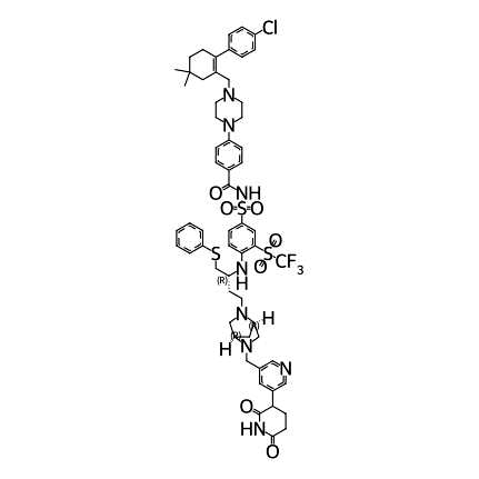 CC1(C)CCC(c2ccc(Cl)cc2)=C(CN2CCN(c3ccc(C(=O)NS(=O)(=O)c4ccc(N[C@H](CCN5C[C@H]6C[C@@H]5CN6Cc5cncc(C6CCC(=O)NC6=O)c5)CSc5ccccc5)c(S(=O)(=O)C(F)(F)F)c4)cc3)CC2)C1